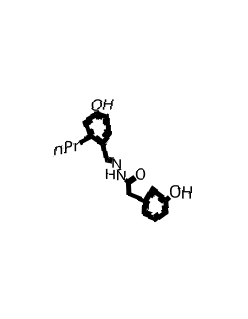 CCCc1cc(O)ccc1/C=N/NC(=O)Cc1cccc(O)c1